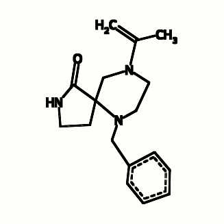 C=C(C)N1CCN(Cc2ccccc2)C2(CCNC2=O)C1